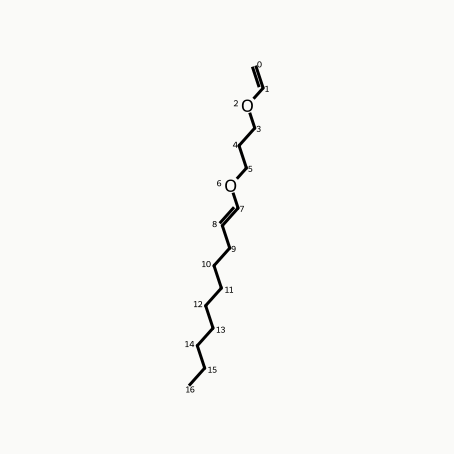 C=COCCCOC=CCCCCCCCC